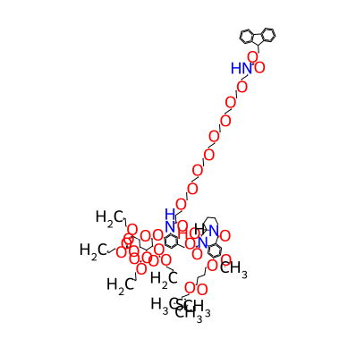 C=CCOC(=O)O[C@@H]1[C@@H](OC(=O)OCC=C)[C@H](Oc2ccc(COC(=O)N3c4cc(OCCCC(=O)OCC[Si](C)(C)C)c(OC)cc4C(=O)N4CCCC[C@H]4C3O)cc2NC(=O)CCOCCOCCOCCOCCOCCOCCOCCOCCNC(=O)OCC2c3ccccc3-c3ccccc32)O[C@H](C(=O)OCC=C)[C@H]1OC(=O)OCC=C